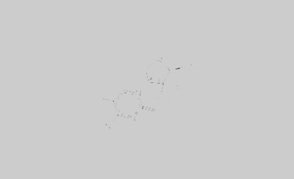 CC(=O)O[C@@H]1[C@@H](C)O[C@@H](n2cc(F)c(N)nc2=O)[C@@]1(O)C(C)=O